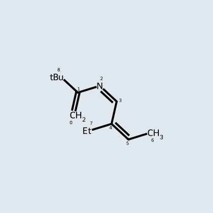 C=C(/N=C\C(=C/C)CC)C(C)(C)C